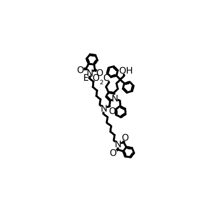 CCOC(=O)CCc1cc(C(=O)N(CCCCCCCN2C(=O)c3ccccc3C2=O)CCCCCCCN2C(=O)c3ccccc3C2=O)n(Cc2ccccc2)c1CCC(CO)(c1ccccc1)c1ccccc1